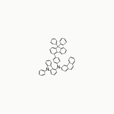 c1ccc(-n2c3ccccc3c3c(N(c4ccc(-c5cccc6c5-c5ccccc5C6(c5ccccc5)c5ccccc5)cc4)c4ccc5ccc6ccccc6c5c4)cccc32)cc1